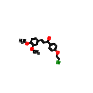 COc1ccc(C=CC(=O)c2ccc(OCCBr)cc2)cc1OC